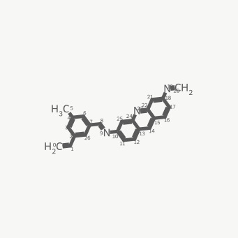 C=Cc1cc(C)cc(C=Nc2ccc3cc4ccc(N=C)cc4nc3c2)c1